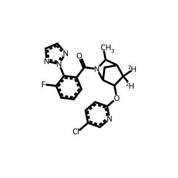 [2H]C1([2H])C2CC(C1Oc1ccc(Cl)cn1)N(C(=O)c1cccc(F)c1-n1nccn1)C2C